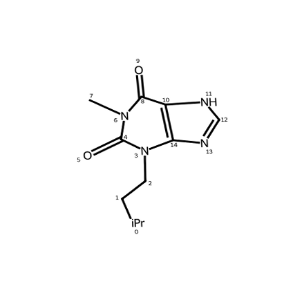 CC(C)CCn1c(=O)n(C)c(=O)c2[nH]cnc21